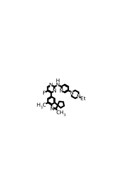 CCN1CCN(c2ccc(Nc3ncc(F)c(-c4cc(C)c5c(c4)C4(CCCC4)C(C)=N5)n3)nc2)CC1